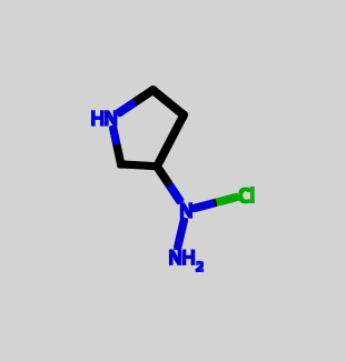 NN(Cl)C1CCNC1